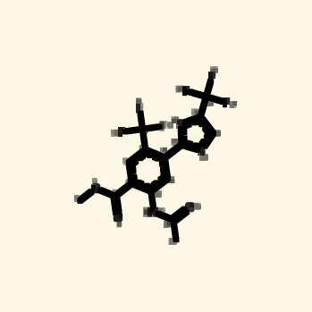 COC(=O)c1cc(C(F)(F)F)c(-c2nc(C(F)(F)F)cs2)cc1NC(C)=O